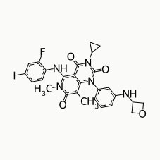 Cc1c(=O)n(C)c(Nc2ccc(I)cc2F)c2c(=O)n(C3CC3)c(=O)n(-c3cccc(NC4COC4)c3)c12